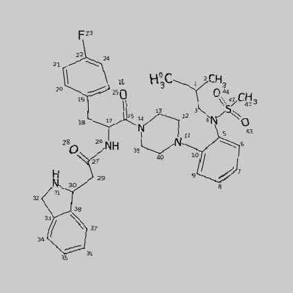 CC(C)CN(c1ccccc1N1CCN(C(=O)C(Cc2ccc(F)cc2)NC(=O)CC2NCc3ccccc32)CC1)S(C)(=O)=O